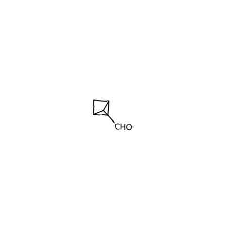 O=[C]C1C2CC1C2